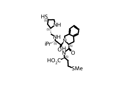 CSCC[C@H](NC(=O)[C@@H]1Cc2ccccc2CN1C(=O)[C@@H](NC[C@@H]1C[C@H](S)CN1)C(C)C)C(=O)O